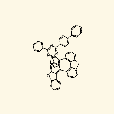 c1ccc(-c2ccc(-c3nc(-c4ccccc4)nc(-c4cc(-c5cccc6sc7cccc(-c8ccccc8)c7c56)c5c(c4)oc4ccccc45)n3)cc2)cc1